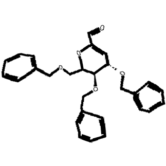 O=CC1=C[C@H](OCc2ccccc2)[C@@H](OCc2ccccc2)C(COCc2ccccc2)O1